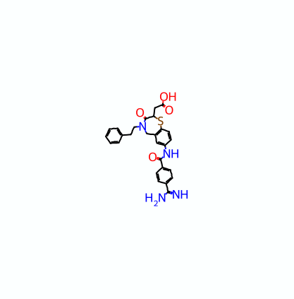 N=C(N)c1ccc(C(=O)Nc2ccc3c(c2)CN(CCc2ccccc2)C(=O)C(CC(=O)O)S3)cc1